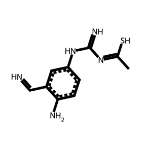 C/C(S)=N/C(=N)Nc1ccc(N)c(C=N)c1